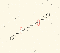 O=C(CCCCCCCCCCC(=O)OCCCCCc1ccccc1)OCCCCCc1ccccc1